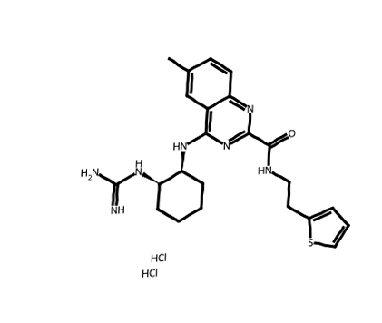 Cc1ccc2nc(C(=O)NCCc3cccs3)nc(N[C@H]3CCCC[C@H]3NC(=N)N)c2c1.Cl.Cl